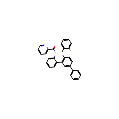 O=C(Nc1ccccc1-c1cc(-c2ccccc2)ccc1[Se]c1ccccc1Br)c1ccccn1